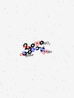 COc1cc(=O)n(C)cc1-c1ccc2nc(N3CCC(CN4C[C@@H](C)N(C(=O)OC(C)(C)C)C[C@@H]4C)CC3)nc(C(COC3CCCCO3)(CC3CC3)c3ccc(OC(=O)Oc4ccc([N+](=O)[O-])cc4)cc3)c2c1